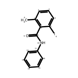 Cc1cccc(I)c1C(=O)Nc1ccccc1